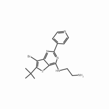 CC(C)(C)c1sc2c(NCCN)nc(-c3ccncc3)nc2c1Br